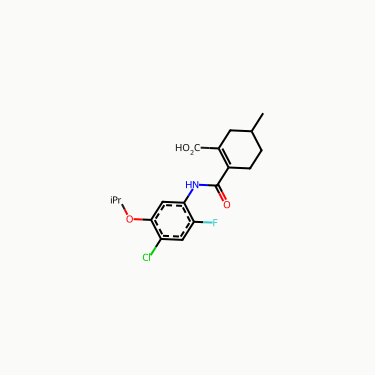 CC1CCC(C(=O)Nc2cc(OC(C)C)c(Cl)cc2F)=C(C(=O)O)C1